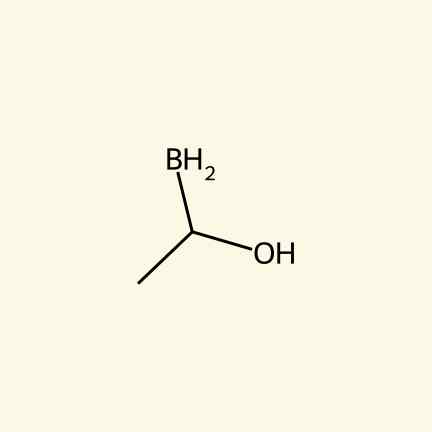 BC(C)O